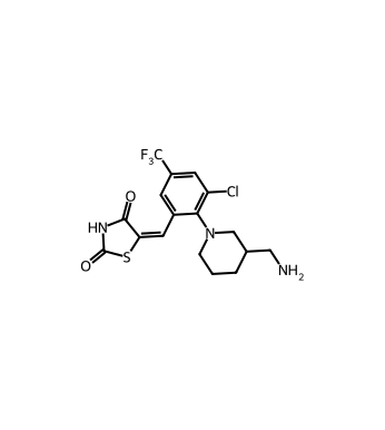 NCC1CCCN(c2c(Cl)cc(C(F)(F)F)cc2/C=C2/SC(=O)NC2=O)C1